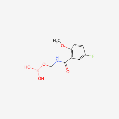 COc1ccc(F)cc1C(=O)NCOB(O)O